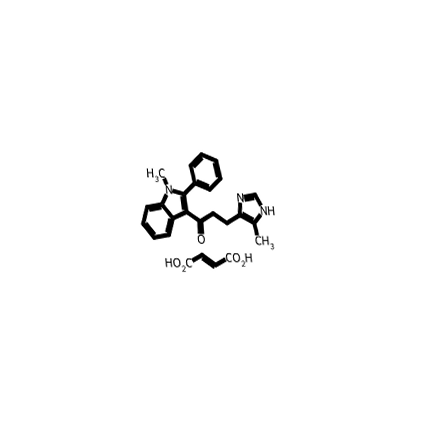 Cc1[nH]cnc1CCC(=O)c1c(-c2ccccc2)n(C)c2ccccc12.O=C(O)C=CC(=O)O